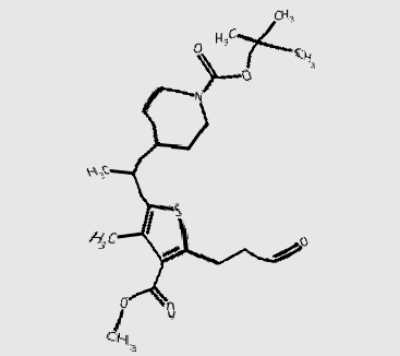 COC(=O)c1c(CCC=O)sc(C(C)C2CCN(C(=O)OC(C)(C)C)CC2)c1C